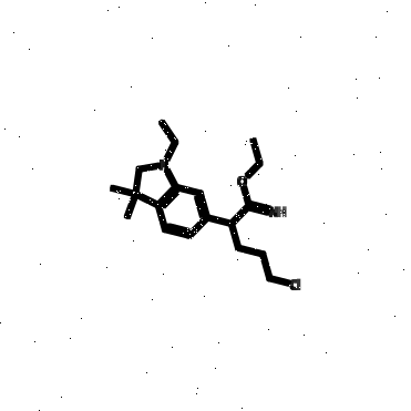 CCOC(=N)C(CCCCl)c1ccc2c(c1)N(CC)CC2(C)C